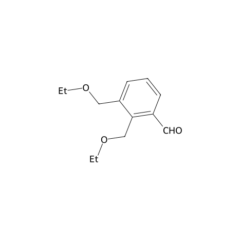 CCOCc1cccc(C=O)c1COCC